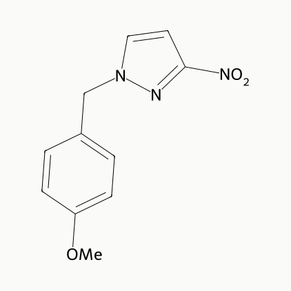 COc1ccc(Cn2ccc([N+](=O)[O-])n2)cc1